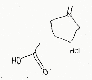 C1CCNC1.CC(=O)O.Cl